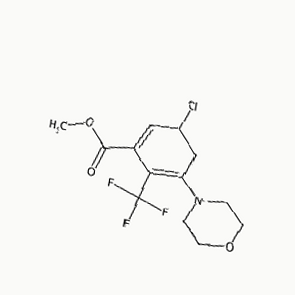 COC(=O)C1=CC(Cl)CC(N2CCOCC2)=C1C(F)(F)F